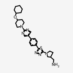 NCC1CCN(c2nnc(-c3ccc(-c4cnc(N5CCC(OC6CCCCC6)CC5)nc4)cc3)s2)C1